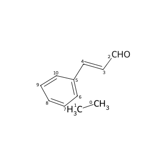 CC.O=CC=Cc1ccccc1